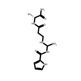 CC(C)[C@@H](NC(=O)CCNC(N)NC(=O)c1ccc[nH]1)C(N)=O